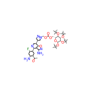 CC(=O)c1cc(-c2ncc(-c3cnn(COC(=O)OC[C@H]4OC(O[Si](C)(C)C)[C@H](O[Si](C)(C)C)[C@@H](O[Si](C)(C)C)[C@@H]4O[Si](C)(C)C)c3)c3onc(N)c23)c(F)cc1N